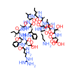 CC[C@H](C)[C@H](NC(=O)[C@H](CC(C)C)NC(=O)[C@H](Cc1c[nH]c2ccccc12)NC(=O)[C@H](C)NC(=O)[C@@H](NC(=O)[C@H](Cc1ccccc1)NC(=O)[C@H](CC(=O)O)NC(=O)[C@@H](N)CCCNC(=N)N)[C@@H](C)CC)C(=O)N[C@@H](C)C(=O)N[C@H](C(=O)N[C@@H](CCCCN)C(=O)N[C@H](C(=O)N[C@H](C(=O)N[C@@H](CC(=O)O)C(=O)O)[C@@H](C)O)[C@@H](C)CC)[C@@H](C)O